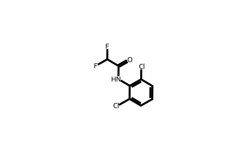 O=C(Nc1c(Cl)cccc1Cl)C(F)F